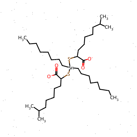 CCCCCCC[CH2][Sn]([CH2]CCCCCCC)([S]C(CCCCCC(C)C)C(=O)[O-])[S]C(CCCCCC(C)C)C(=O)[O-]